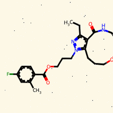 CCc1nn(CCCOC(=O)c2ccc(F)cc2C)c2c1C(=O)NCCCOCCC2